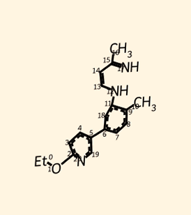 CCOc1ccc(-c2ccc(C)c(N/C=C\C(C)=N)c2)cn1